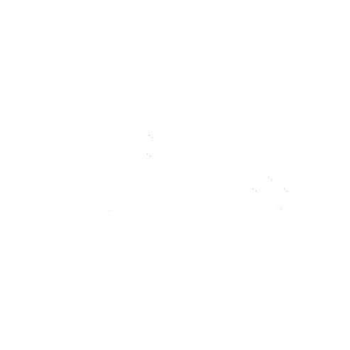 CCCc1c(Cc2ccc(-c3ccccc3-c3nnn[nH]3)cc2)c(=O)n2n1CCCC2CCC(=O)OCC